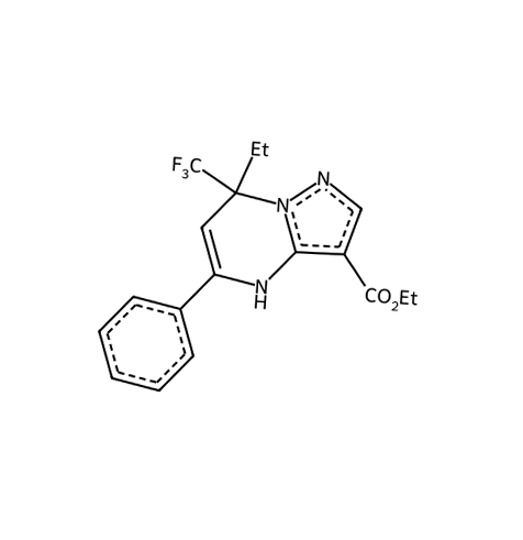 CCOC(=O)c1cnn2c1NC(c1ccccc1)=CC2(CC)C(F)(F)F